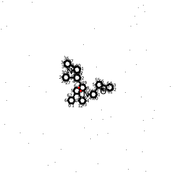 c1ccc(-c2ccccc2-c2ccccc2N(c2ccc(-c3cccc(-c4ccccc4-n4c5ccccc5c5ccccc54)c3)cc2)c2cccc(-c3cccc4c3oc3ccccc34)c2)cc1